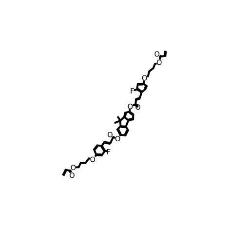 C=CC(=O)OCCCCOc1ccc(C=CC(=O)Oc2ccc3c(c2)C(C)(C)c2cc(OC(=O)C=Cc4ccc(OCCCCOC(=O)C=C)cc4F)ccc2-3)c(F)c1